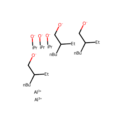 CC(C)[O-].CC(C)[O-].CC(C)[O-].CCCCC(CC)C[O-].CCCCC(CC)C[O-].CCCCC(CC)C[O-].[Al+3].[Al+3]